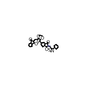 O=C1C(=Cc2sc(-c3ccc4c(c3)C(=O)/C(=C/c3scnc3-c3ccccc3)C4=O)c3c2OCCO3)C(=O)c2ccccc21